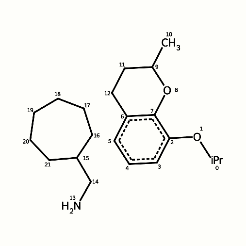 CC(C)Oc1cccc2c1OC(C)CC2.NCC1CCCCCC1